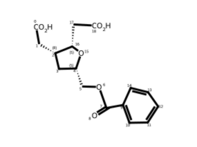 O=C(O)C[C@H]1C[C@@H](COC(=O)c2ccccc2)O[C@H]1CC(=O)O